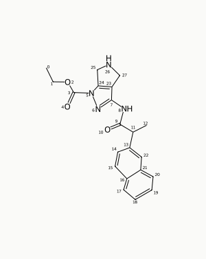 CCOC(=O)n1nc(NC(=O)C(C)c2ccc3ccccc3c2)c2c1CNC2